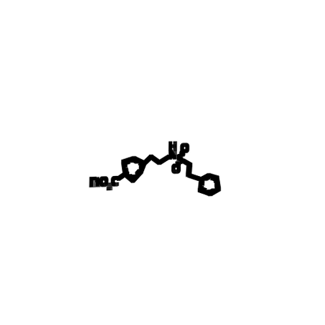 CCOC(=O)c1ccc(CCNS(=O)(=O)/C=C/c2ccccc2)cc1